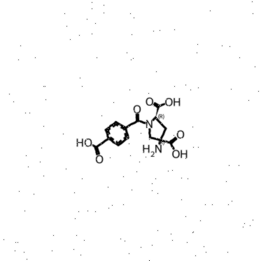 N[C@]1(C(=O)O)C[C@H](C(=O)O)N(C(=O)c2ccc(C(=O)O)cc2)C1